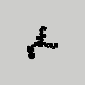 Cc1oc(-c2ccccc2)nc1CCOc1ccc(CCC(=O)O)c(CNC(=O)CCCC(C)C)c1